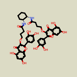 O=C(CCCOc1c(-c2ccc(O)c(O)c2)oc2cc(O)cc(O)c2c1=O)N[C@H]1CCCC[C@H]1NC(=O)CCCOc1c(-c2ccc(O)c(O)c2)oc2cc(O)cc(O)c2c1=O